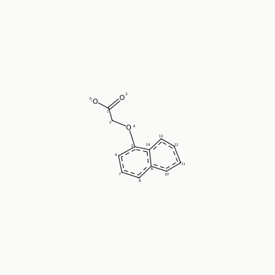 [O]C(=O)COc1cccc2ccccc12